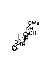 COCCNC[C@H]1O[C@@H](N/C=C\C(=N)NC(=O)c2ccccc2)C[C@@H]1O